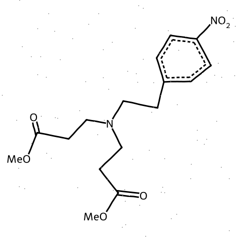 COC(=O)CCN(CCC(=O)OC)CCc1ccc([N+](=O)[O-])cc1